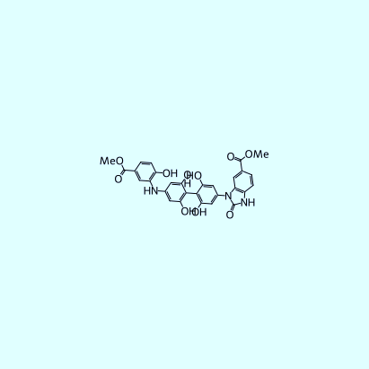 COC(=O)c1ccc(O)c(Nc2cc(O)c(-c3c(O)cc(-n4c(=O)[nH]c5ccc(C(=O)OC)cc54)cc3O)c(O)c2)c1